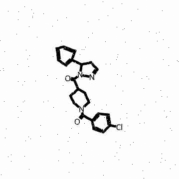 O=C(c1ccc(Cl)cc1)N1CCC(C(=O)N2N=CCC2c2ccccc2)CC1